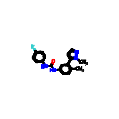 Cc1ccc(NC(=O)Nc2ccc(F)cc2)cc1-c1ccnn1C